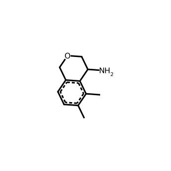 Cc1ccc2c(c1C)C(N)COC2